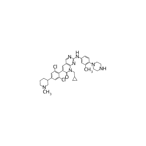 Cc1cc(Nc2ncc3cc(-c4c(Cl)cc(C5CCCN(C)C5)cc4Cl)c(=O)n(CC4CC4)c3n2)ccc1N1CCNCC1